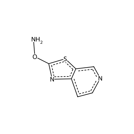 NOc1nc2ccncc2s1